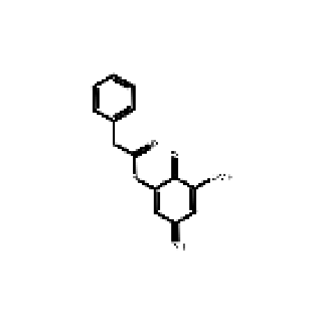 COC1=CC(=N)C=C(NC(=O)Cc2ccccc2)C1=O